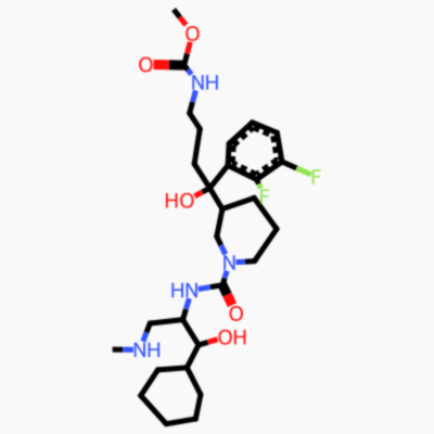 CNCC(NC(=O)N1CCCC(C(O)(CCCNC(=O)OC)c2cccc(F)c2F)C1)C(O)C1CCCCC1